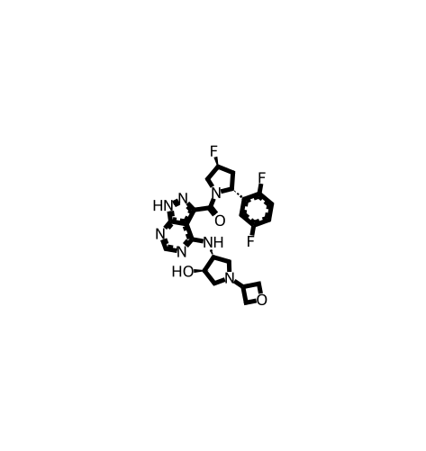 O=C(c1n[nH]c2ncnc(N[C@@H]3CN(C4COC4)C[C@H]3O)c12)N1C[C@@H](F)C[C@@H]1c1cc(F)ccc1F